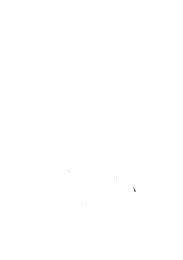 CCC(CC)(C(=O)N[C@@H](Cc1ccc(OCc2c(Cl)cccc2Cl)cc1)C(=O)O)C(=O)N1CC(O)C(Cl)C1